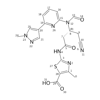 Cc1nc(NC(=O)C[C@@H](CC#N)N(C=O)c2cccc(-c3cnn(C)c3)n2)sc1C(=O)O